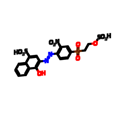 O=[N+]([O-])c1cc(S(=O)(=O)CCOS(=O)(=O)O)ccc1/N=N/c1cc(S(=O)(=O)O)c2ccccc2c1O